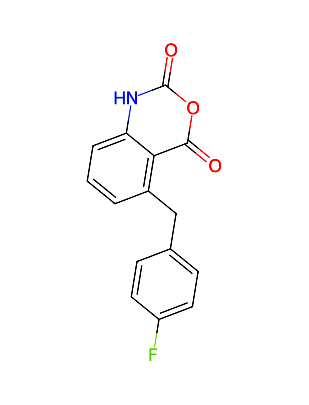 O=c1[nH]c2cccc(Cc3ccc(F)cc3)c2c(=O)o1